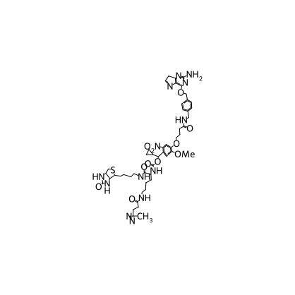 COc1cc(C(OC(=O)NC(CCCCNC(=O)CCC2(C)N=N2)C(=O)NCCCCC2SCC3NC(=O)NC32)C2CC2)c([N+](=O)[O-])cc1OCCCC(=O)NCc1ccc(COc2nc(N)nc3c2N=CC3)cc1